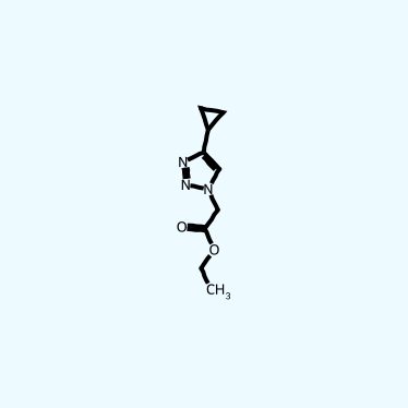 CCOC(=O)Cn1cc(C2CC2)nn1